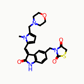 Cn1c(/C=C2/C(=O)Nc3ccc(CN4C(=O)CSC4=O)cc32)ccc1CN1CCOCC1